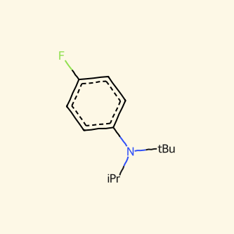 CC(C)N(c1ccc(F)cc1)C(C)(C)C